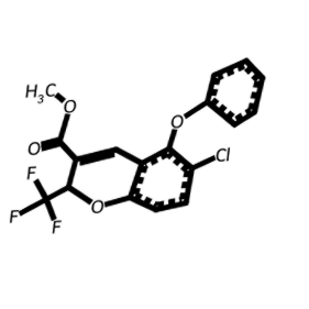 COC(=O)C1=Cc2c(ccc(Cl)c2Oc2ccccc2)OC1C(F)(F)F